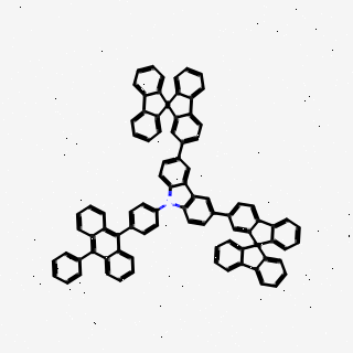 c1ccc(-c2c3ccccc3c(-c3ccc(-n4c5ccc(-c6ccc7c(c6)C6(c8ccccc8-c8ccccc86)c6ccccc6-7)cc5c5cc(-c6ccc7c(c6)C6(c8ccccc8-c8ccccc86)c6ccccc6-7)ccc54)cc3)c3ccccc23)cc1